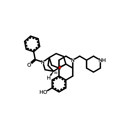 O=C(c1ccccc1)N1C[C@@H]2CC13CCC1(C2)C2Cc4ccc(O)cc4C1(CCN2CC1CCCNC1)C3